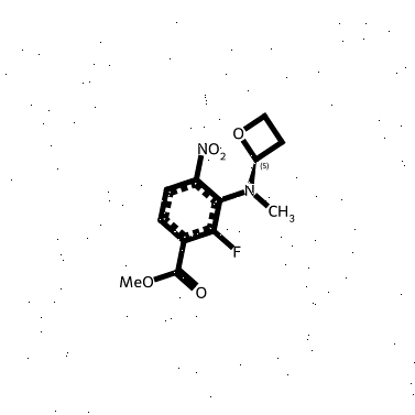 COC(=O)c1ccc([N+](=O)[O-])c(N(C)[C@@H]2CCO2)c1F